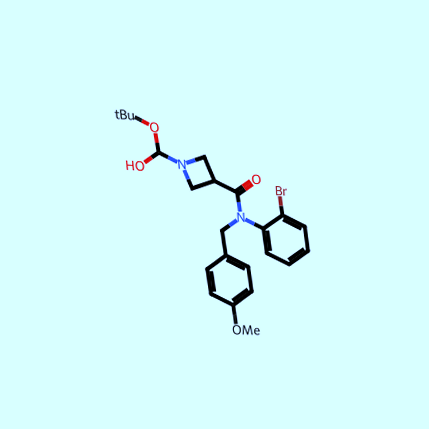 COc1ccc(CN(C(=O)C2CN(C(O)OC(C)(C)C)C2)c2ccccc2Br)cc1